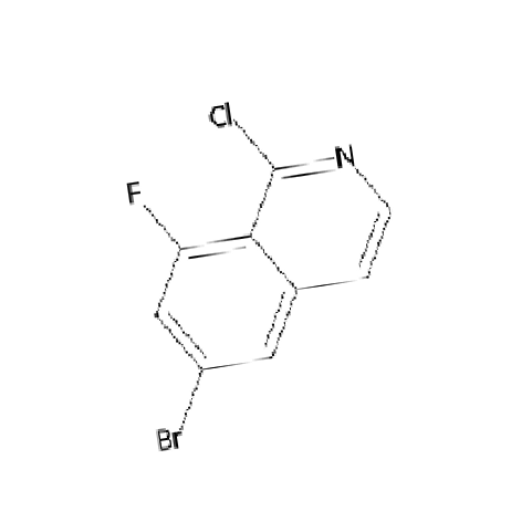 Fc1cc(Br)cc2ccnc(Cl)c12